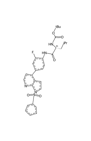 CC(C)C[C@@H](NC(=O)OC(C)(C)C)C(=O)Nc1ccc(-c2ccnc3c2ccn3S(=O)(=O)c2ccccc2)cc1F